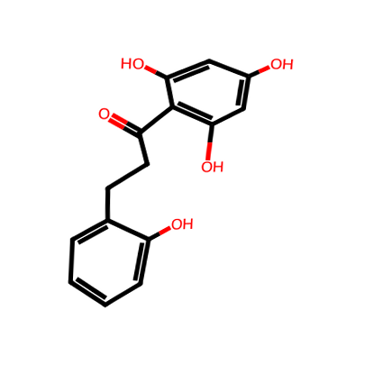 O=C(CCc1ccccc1O)c1c(O)cc(O)cc1O